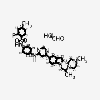 Cc1ccc(S(=O)(=O)Nc2ccc(Nc3cc(-c4ccc5c(ccn5CC(C)N5CCN(C)CC5)c4)ncn3)cc2)c(F)c1.O=CO